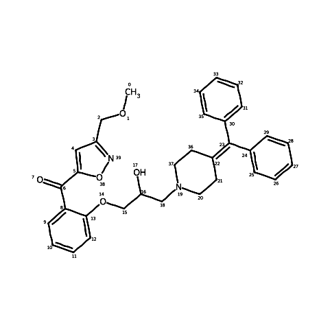 COCc1cc(C(=O)c2ccccc2OCC(O)CN2CCC(=C(c3ccccc3)c3ccccc3)CC2)on1